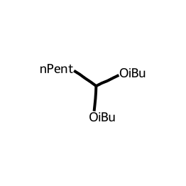 CCCCCC(OCC(C)C)OCC(C)C